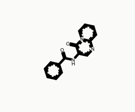 O=C(Nc1cnc2ccccn2c1=O)c1ccccc1